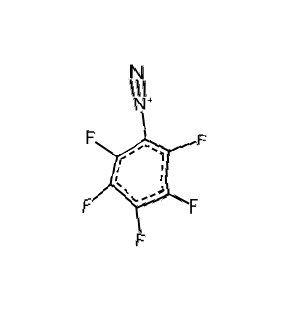 N#[N+]c1c(F)c(F)c(F)c(F)c1F